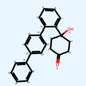 O=C1CCC(O)(c2ccccc2-c2ccc(-c3ccccc3)cc2)CC1